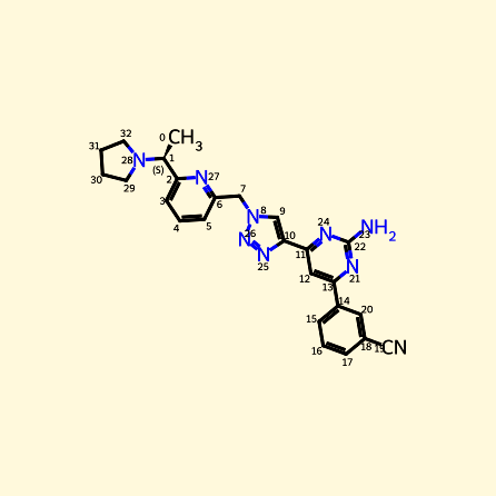 C[C@@H](c1cccc(Cn2cc(-c3cc(-c4cccc(C#N)c4)nc(N)n3)nn2)n1)N1CCCC1